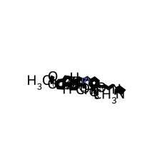 COc1cc(/C=C2/C[C@H]3[C@@H]4CC=C5C[C@@H](OC(C)=O)CC[C@]5(C)[C@H]4CC[C@]3(C)C2=O)ccc1OCCCn1ccnc1